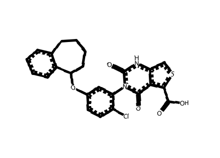 O=C(O)c1scc2[nH]c(=O)n(-c3cc(OC4CCCCc5ccccc54)ccc3Cl)c(=O)c12